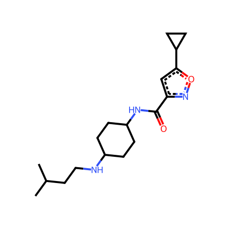 CC(C)CCNC1CCC(NC(=O)c2cc(C3CC3)on2)CC1